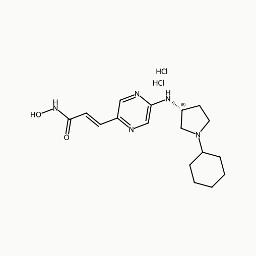 Cl.Cl.O=C(C=Cc1cnc(N[C@@H]2CCN(C3CCCCC3)C2)cn1)NO